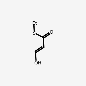 CCSC(=O)/C=C/O